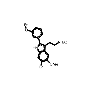 CCOc1cccc(-c2[nH]c3cc(Br)c(OC)cc3c2CCNC(C)=O)c1